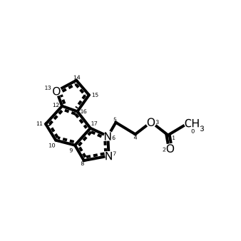 CC(=O)OCCn1ncc2ccc3occc3c21